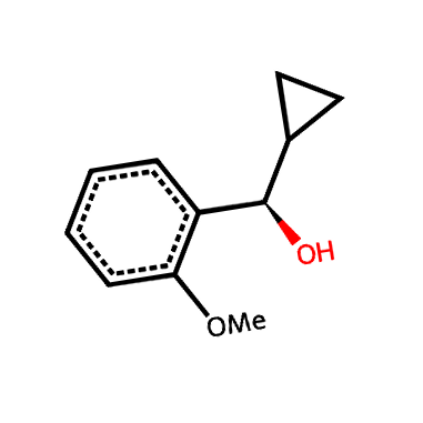 COc1ccccc1[C@H](O)C1CC1